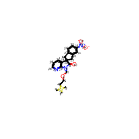 CS(C)(C)CCOCN1C(=O)C2(Cc3ccc([N+](=O)[O-])cc3C2)c2cccnc21